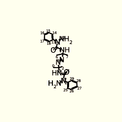 CC(C)(N=NC(C)(C)NC(=O)N(N)c1ccccc1)NC(=O)N(N)c1ccccc1